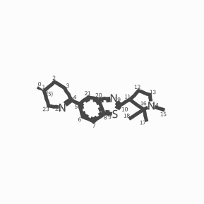 C[C@H]1CCC(c2ccc3sc(C4CCN(C)C4(C)C)nc3c2)=NC1